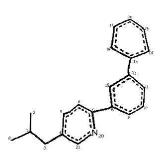 CC(C)Cc1ccc(-c2cccc(-c3ccccc3)c2)nc1